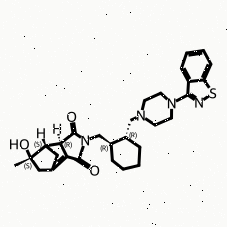 C[C@]1(O)CC2=C3C(=O)N(C[C@@H]4CCCC[C@H]4CN4CCN(c5nsc6ccccc56)CC4)C(=O)[C@@H]3[C@@H]1C2